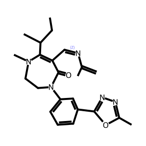 C=C(C)/N=C\C1=C(C(C)CC)N(C)CCN(c2cccc(-c3nnc(C)o3)c2)C1=O